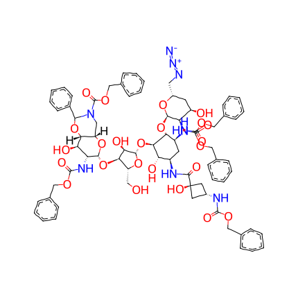 [N-]=[N+]=NC[C@@H]1C[C@@H](O)[C@@H](NC(=O)OCc2ccccc2)[C@@H](O[C@H]2[C@H](O[C@@H]3O[C@H](CO)[C@@H](O[C@H]4O[C@H]5CN(C(=O)OCc6ccccc6)C(c6ccccc6)O[C@H]5[C@H](O)[C@H]4NC(=O)OCc4ccccc4)[C@H]3O)[C@@H](O)[C@H](NC(=O)[C@]3(O)C[C@H](NC(=O)OCc4ccccc4)C3)C[C@@H]2NC(=O)OCc2ccccc2)O1